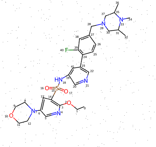 CCOc1ncc(N2CCOCC2)cc1S(=O)(=O)Nc1cncc(-c2ccc(CN3CC(C)N(C)C(C)C3)cc2F)c1